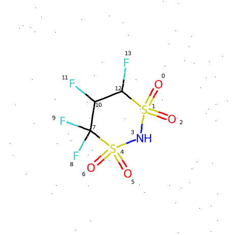 O=S1(=O)NS(=O)(=O)C(F)(F)C(F)C1F